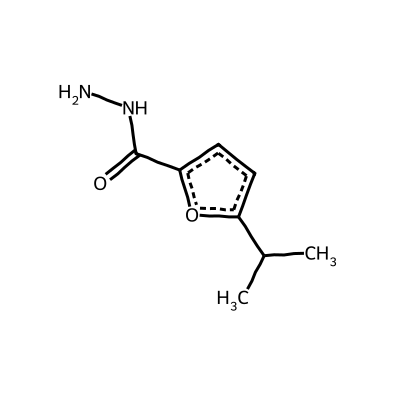 CC(C)c1ccc(C(=O)NN)o1